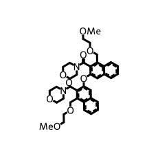 COCCOCc1c(C(=O)N2CCOCC2)c(Oc2cc3ccccc3c(COCCOC)c2C(=O)N2CCOCC2)cc2ccccc12